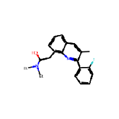 CCN(CC)C(O)Cc1cccc2cc(C)c(-c3ccccc3F)nc12